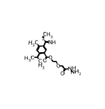 CSC(=N)c1cc(C(=O)OCCOCC(=O)NN)c(C(C)C)cc1C